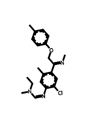 CCN(C)/C=N\c1cc(C)c(/C(COc2ccc(C)cc2)=N/C)cc1Cl